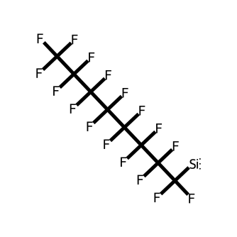 FC(F)(F)C(F)(F)C(F)(F)C(F)(F)C(F)(F)C(F)(F)C(F)(F)C(F)(F)[Si]